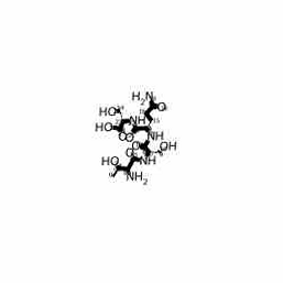 C[C@@H](O)[C@H](N)C(=O)N[C@@H](CO)C(=O)N[C@@H](CCC(N)=O)C(=O)N[C@@H](CO)C(=O)O